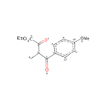 CCOC(=O)C(=O)C(C)C(=O)c1ccc(OC)cc1